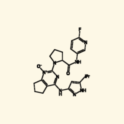 CC(C)c1cc(Nc2nc(N3CCCC3C(=O)Nc3ccc(F)nc3)[n+]([O-])c3c2CCC3)n[nH]1